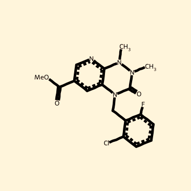 COC(=O)c1cnc2c(c1)N(Cc1c(F)cccc1Cl)C(=O)N(C)N2C